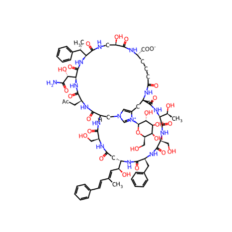 CC(=O)C[C@@H]1NC(=O)[C@H]2Cn3cc([n+]([C@@H]4O[C@H](CO)[C@H](O)[C@H](O)[C@H]4O)c3)C[C@H](NC(=O)CCC[C@@H](C(=O)[O-])NC(=O)[C@H](O)CNC(=O)[C@H]([C@@H](C)c3ccccc3)NC(=O)[C@H]([C@@H](O)C(N)=O)NC1=O)C(=O)N[C@@H]([C@H](C)O)C(=O)N[C@@H](CO)C(=O)N[C@@H](Cc1ccccc1)C(=O)N[C@H]([C@@H](O)/C=C(C)/C=C/c1ccccc1)CC(=O)N[C@@H](CO)C(=O)N2